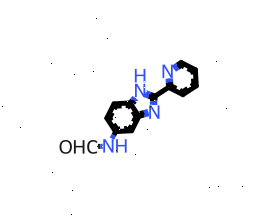 O=CNc1ccc2[nH]c(-c3ccccn3)nc2c1